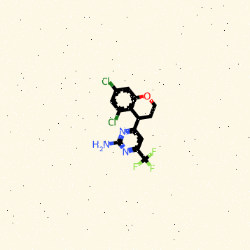 Nc1nc(C2CCOc3cc(Cl)cc(Cl)c32)cc(C(F)(F)F)n1